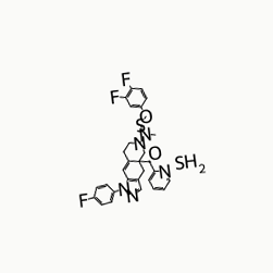 CN(SOc1ccc(F)c(F)c1)N1CCC2=Cc3c(cnn3-c3ccc(F)cc3)CC2(C(=O)c2ccccn2)C1.S